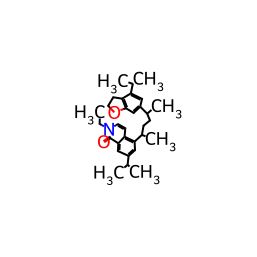 CCn1ccc2c(C(C)CCC(C)c3cc4c(c(C(C)C)c3)CCO4)cc(C(C)C)cc2c1=O